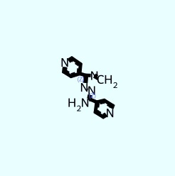 C=N/C(=N\N=C(/N)c1ccncc1)c1ccncc1